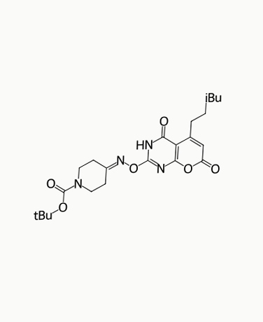 CCC(C)CCc1cc(=O)oc2nc(ON=C3CCN(C(=O)OC(C)(C)C)CC3)[nH]c(=O)c12